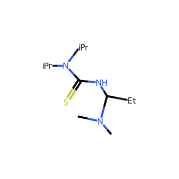 CCC(NC(=S)N(C(C)C)C(C)C)N(C)C